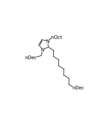 CCCCCCCCCCCCCCCCCCC1N(CCCCCCCC)C=CN1CCCCCCCCCCC